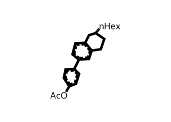 CCCCCCC1CCc2cc(-c3ccc(OC(C)=O)cc3)ccc2C1